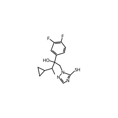 CC(C1CC1)C(O)(Cn1ncnc1S)c1ccc(F)c(F)c1